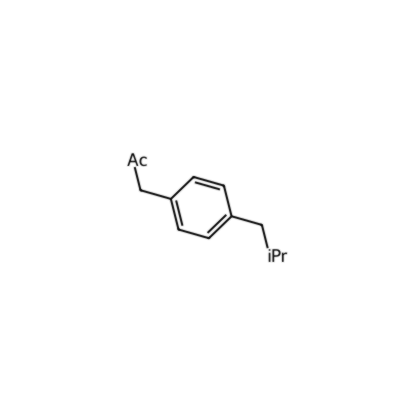 CC(=O)Cc1ccc(CC(C)C)cc1